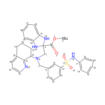 CC(C)(C)OC(=O)C1(CN(Cc2cccc(S(=O)(=O)Nc3ccccc3)c2)C2CCCc3cccnc32)Nc2ccccc2N1